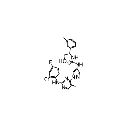 Cc1cccc([C@H](CO)NC(=O)Nc2cnn(-c3nc(Nc4ccc(F)cc4Cl)ncc3C)c2)c1